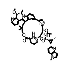 CCO[C@@H]1c2nc(cs2)-c2ccc3c(c2)c(c(-c2cccnc2[C@H](C)OC)n3CC)CC(C)(C)COC(=O)[C@@H]2CCCN(N2)C(=O)[C@H]1NC(=O)[C@H]1[C@H](C)[C@@H]1c1ccc2c(ccn2C)n1